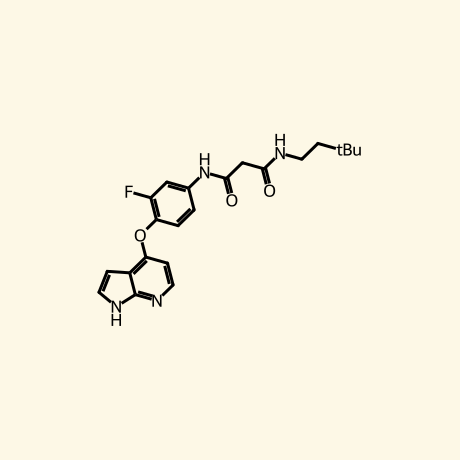 CC(C)(C)CCNC(=O)CC(=O)Nc1ccc(Oc2ccnc3[nH]ccc23)c(F)c1